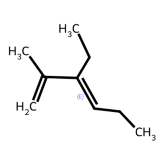 C=C(C)/C(=C/CC)CC